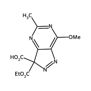 CCOC(=O)C1(C(=O)O)N=Nc2c(OC)nc(C)nc21